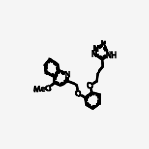 COc1cc(COc2ccccc2OCCCc2nnn[nH]2)nc2ccccc12